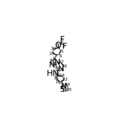 FC(F)Oc1ccc(-c2cnc3c(Nc4ccc(N5CCCS5)cc4)nccn23)cc1